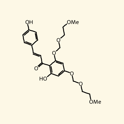 COCCOCOc1cc(O)c(C(=O)/C=C/c2ccc(O)cc2)c(OCOCCOC)c1